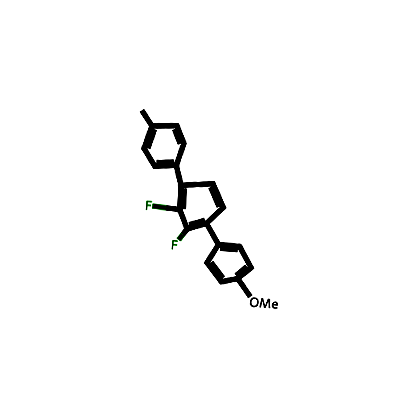 COc1ccc(-c2ccc(-c3ccc(C)cc3)c(F)c2F)cc1